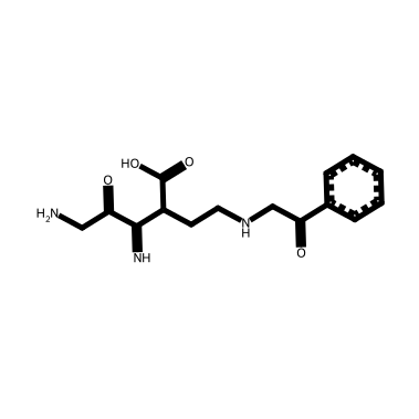 N=C(C(=O)CN)C(CCNCC(=O)c1ccccc1)C(=O)O